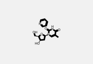 Cc1cn([C@H]2C[C@H](O)[C@@H](CO)O2)c(=O)[nH]c1=O.c1ccncc1